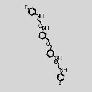 Fc1ccc(NCCOBc2cccc(COCc3cccc(BOCCNc4ccc(F)cc4)c3)c2)cc1